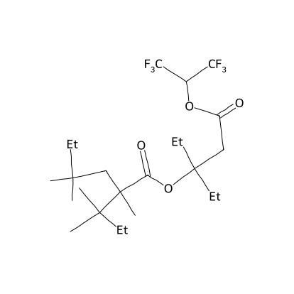 CCC(C)(C)CC(C)(C(=O)OC(CC)(CC)CC(=O)OC(C(F)(F)F)C(F)(F)F)C(C)(C)CC